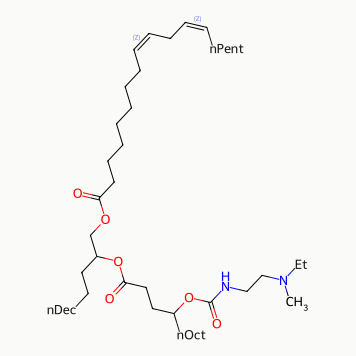 CC[CH]CCCCCCCCCC(COC(=O)CCCCCCC/C=C\C/C=C\CCCCC)OC(=O)CCC(CCCCCCCC)OC(=O)NCCN(C)CC